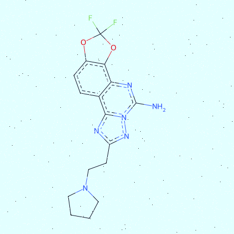 Nc1nc2c3c(ccc2c2nc(CCN4CCCC4)nn12)OC(F)(F)O3